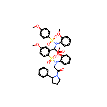 COc1ccc(S(=O)(=O)N(c2ccccc2OC)C(C(=O)O)c2cc(OC)ccc2S(=O)(=O)N(CC(=O)N2CCCC2c2ccccc2)c2ccccc2OC)cc1